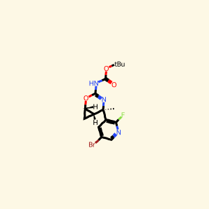 CC(C)(C)OC(=O)NC1=N[C@@](C)(c2cc(Br)cnc2F)[C@@H]2C[C@@H]2O1